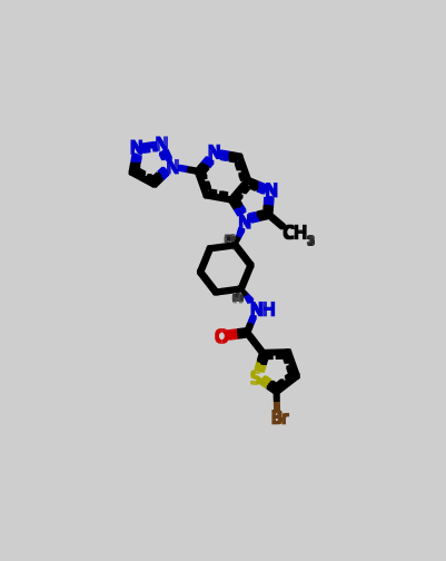 Cc1nc2cnc(-n3ccnn3)cc2n1[C@@H]1CCC[C@H](NC(=O)c2ccc(Br)s2)C1